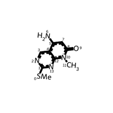 CSc1ncc2c(N)cc(=O)n(C)c2n1